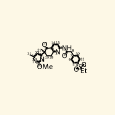 CCS(=O)(=O)c1ccc(CC(=O)Nc2ccc3c(n2)CCC(C)(c2cc(C)nc(OC)n2)C3=O)cc1